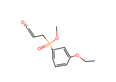 CCOc1cccc(P(=O)(CC=C=O)OC)c1